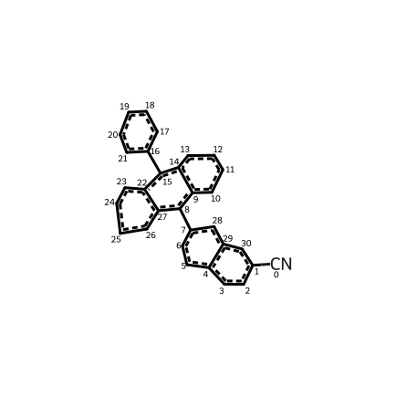 N#Cc1ccc2ccc(-c3c4ccccc4c(-c4ccccc4)c4ccccc34)cc2c1